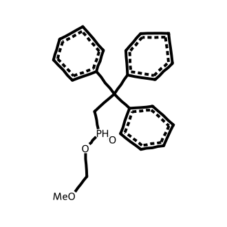 COCO[PH](=O)CC(c1ccccc1)(c1ccccc1)c1ccccc1